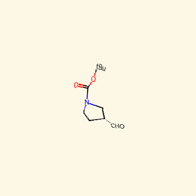 CC(C)(C)OC(=O)N1CC[C@@H](C=O)C1